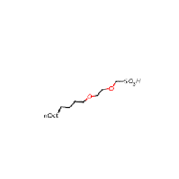 CCCCCCCCCCCCOCCOCS(=O)(=O)O